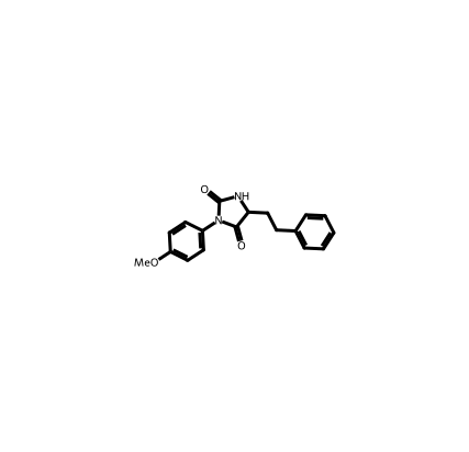 COc1ccc(N2C(=O)NC(CCc3ccccc3)C2=O)cc1